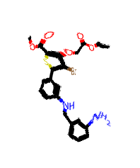 CCOC(=O)COc1c(C(=O)OC)sc(-c2cccc(NCc3cccc(N)c3)c2)c1Br